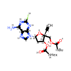 C#C[C@]1(COC(=O)CCCC)O[C@@H](n2cnc3c(N)nc(F)nc32)C[C@@H]1OC(=O)CCCCCC